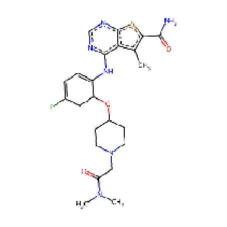 Cc1c(C(N)=O)sc2ncnc(NC3=CC=C(F)CC3OC3CCN(CC(=O)N(C)C)CC3)c12